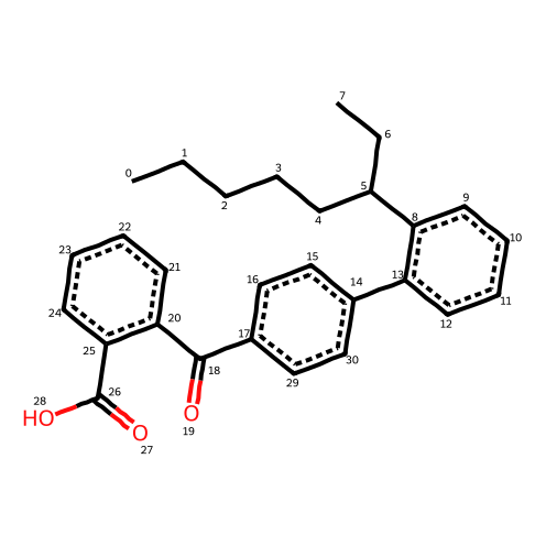 CCCCCC(CC)c1ccccc1-c1ccc(C(=O)c2ccccc2C(=O)O)cc1